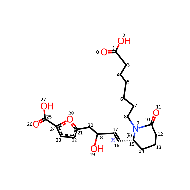 O=C(O)CCCCCCN1C(=O)CCC[C@@H]1/C=C/C(O)Cc1ccc(C(=O)O)o1